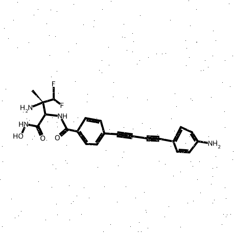 C[C@@](N)(C(F)F)C(NC(=O)c1ccc(C#CC#Cc2ccc(N)cc2)cc1)C(=O)NO